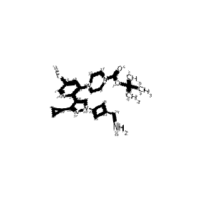 CC(C)(C)OC(=O)N1CCN(c2cc(F)cnc2-c2cn([C@H]3C[C@H](CN)C3)nc2C2CC2)CC1